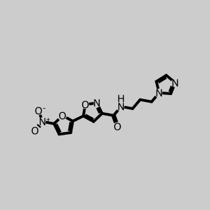 O=C(NCCCn1ccnc1)c1cc(-c2ccc([N+](=O)[O-])o2)on1